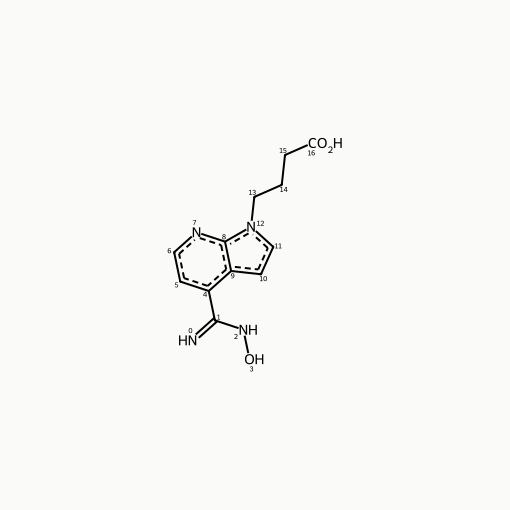 N=C(NO)c1ccnc2c1ccn2CCCC(=O)O